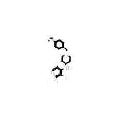 CN(C)c1ccc(CN2CCC(Nc3c(Cl)cnc(N)c3[N+](=O)[O-])CC2)cc1